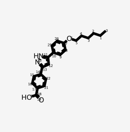 CCCCCCOc1ccc(-c2cc(-c3ccc(C(=O)O)cc3)n[nH]2)cc1